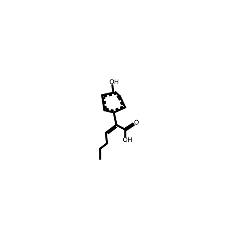 CCCC=C(C(=O)O)c1ccc(O)cc1